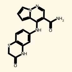 NC(=O)c1cnn2cccc2c1Nc1ccc2c(c1)NC(=O)CS2